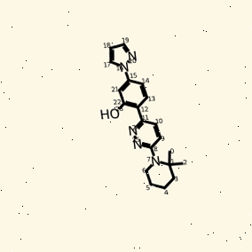 CC1(C)CCCCN1c1ccc(-c2ccc(-n3cccn3)cc2O)nn1